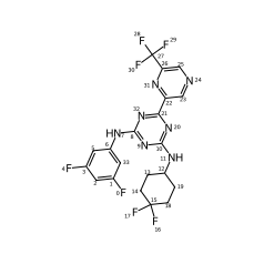 Fc1cc(F)cc(Nc2nc(NC3CCC(F)(F)CC3)nc(-c3cncc(C(F)(F)F)n3)n2)c1